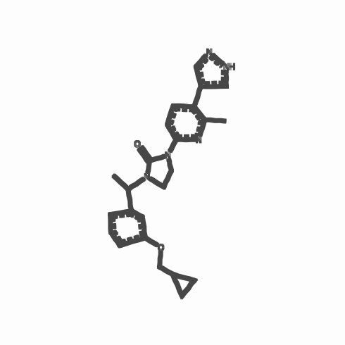 Cc1nc(N2CCN(C(C)c3cccc(OCC4CC4)c3)C2=O)ccc1-c1cn[nH]c1